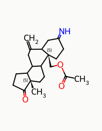 C=C1CC2C(CC[C@]3(C)C(=O)CCC23)[C@@]2(COC(C)=O)CCC(=N)CC12